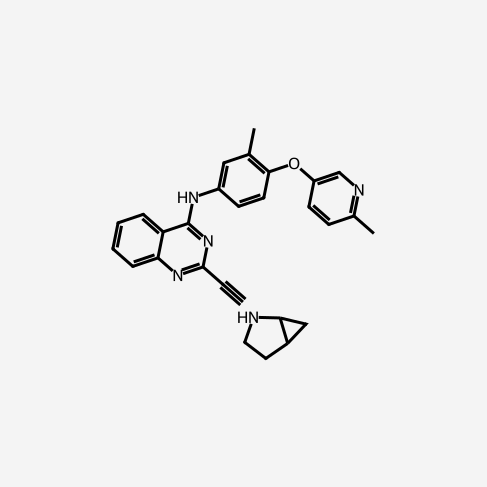 C#Cc1nc(Nc2ccc(Oc3ccc(C)nc3)c(C)c2)c2ccccc2n1.C1CC2CC2N1